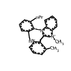 CCCc1cccc(CCC)c1-n1c(-c2ccccc2C)[n+](C)c2ccccc21